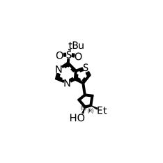 CC[C@@H]1CC(c2csc3c(S(=O)(=O)C(C)(C)C)ncnc23)C[C@@H]1O